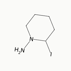 NN1CCCCC1I